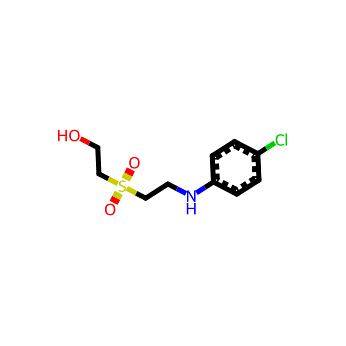 O=S(=O)(CCO)CCNc1ccc(Cl)cc1